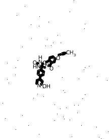 CC#CCOc1ccc2c(c1)C(=O)N(CC1(c3ccc(-c4ccnc(O)c4)cc3)NC(=O)NC1=O)C2